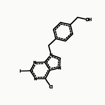 OCc1ccc(Cn2cnc3c(Cl)nc(I)nc32)cc1